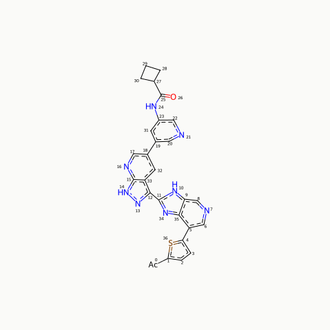 CC(=O)c1ccc(-c2cncc3[nH]c(-c4n[nH]c5ncc(-c6cncc(NC(=O)C7CCC7)c6)cc45)nc23)s1